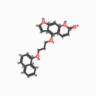 O=c1ccc2c(OCCCOc3cccc4ccccc34)c3ccoc3cc2o1